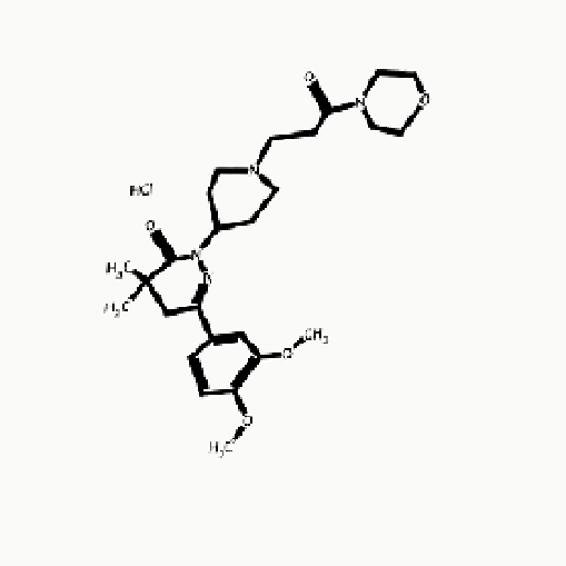 COc1ccc(C2=NN(C3CCN(CCC(=O)N4CCOCC4)CC3)C(=O)C(C)(C)C2)cc1OC.Cl